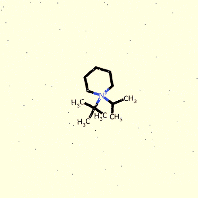 CC(C)[N+]1(C(C)(C)C)CCCCC1